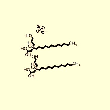 CCCCCCCCCCCC[N+](C)(CCCO)CC(O)O.CCCCCCCCCCCC[N+](C)(CCCO)CC(O)O.O=S(=O)([O-])[O-]